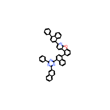 c1ccc(-c2nc(-c3ccc4ccccc4c3)nc(-c3ccc(-c4cccc5oc6nc(-c7ccc(-c8ccccc8)c8ccccc78)ccc6c45)c4ccccc34)n2)cc1